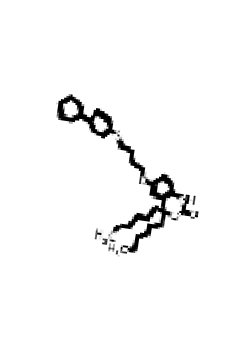 CCCCCCC1(CCCCCC)OC(=O)Nc2ccc(OCCCCSc3ccc(C4CCCCC4)cc3)cc21